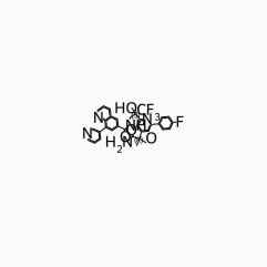 C[C@]1(C(N)=O)COc2c1cc([C@@](O)(CNC(=O)c1cc(-c3cccnc3)c3ncccc3c1)C(F)(F)F)nc2-c1ccc(F)cc1